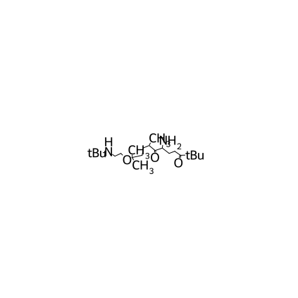 CC(CCC(C)(C)OCCNC(C)(C)C)C(=O)C(N)CCC(=O)C(C)(C)C